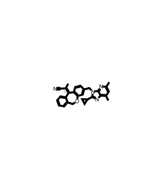 C/C(C#N)=C1/c2ccccc2COc2cc(Cn3c(C4CC4)nc4c(C)cc(C)nc43)ccc21